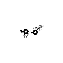 C=Cc1ccc(OCc2cccc(NC(=O)O)c2)c(F)c1C=O